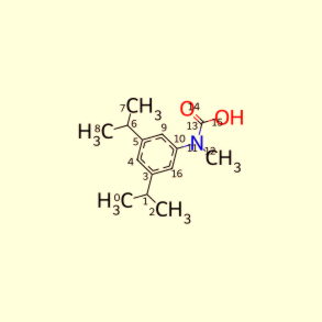 CC(C)c1cc(C(C)C)cc(N(C)C(=O)O)c1